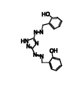 Oc1ccccc1CN=Nc1n[nH]c(N=NCc2ccccc2O)n1